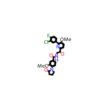 COc1cc(C(=O)NCC(=O)c2ccc(OC)c(-c3ccc(F)c(Cl)c3)n2)ccc1N1CCCC1=O